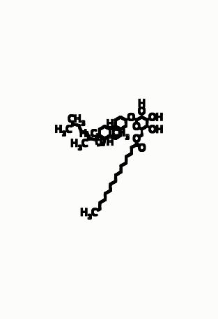 CCCCCCCCCCCCCCCC(=O)OC[C@H]1O[C@@H](O[C@H]2CC[C@@]3(C)C(=CC[C@H]4[C@@H]5CC[C@H]([C@H](C)CCCC(C)C)[C@@]5(C)CC[C@@H]43)C2)[C@H](O)[C@@H](O)[C@@H]1O